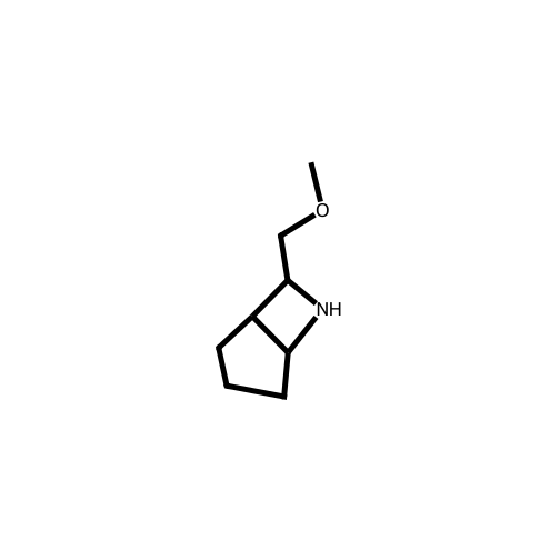 COCC1NC2CCCC21